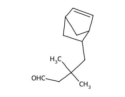 CC(C)(CC=O)CC1CC2C=CC1C2